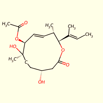 C/C=C(\C)[C@H]1OC(=O)C[C@H](O)CC[C@@](C)(O)[C@@H](OC(C)=O)/C=C/[C@@H]1C